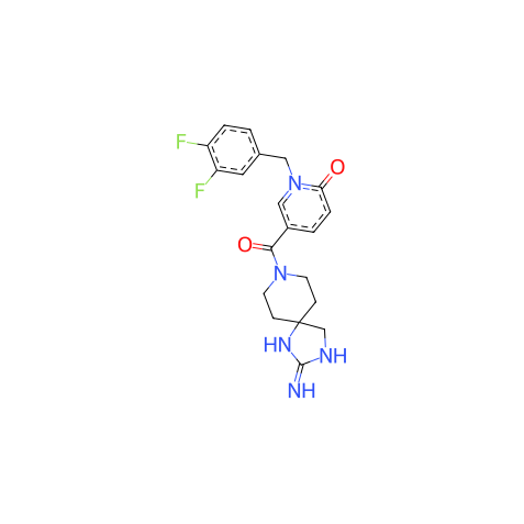 N=C1NCC2(CCN(C(=O)c3ccc(=O)n(Cc4ccc(F)c(F)c4)c3)CC2)N1